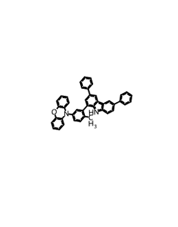 Cc1ccc(N2c3ccccc3Oc3ccccc32)cc1-c1cc(-c2ccccc2)cc2c1[nH]c1ccc(-c3ccccc3)cc12